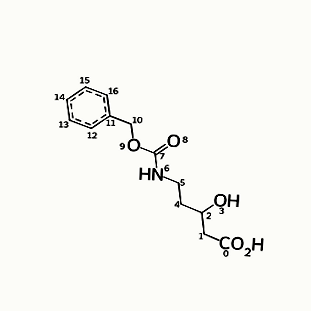 O=C(O)CC(O)CCNC(=O)OCc1ccccc1